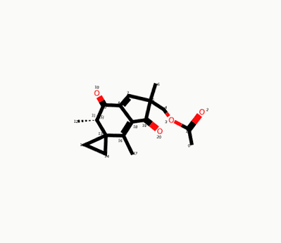 CC(=O)OCC1(C)C=C2C(=O)[C@@H](C)C3(CC3)C(C)=C2C1=O